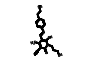 Cc1c(N=Nc2ccc(CCO)cc2)c(O)n(CCCO)c(=O)c1C#N